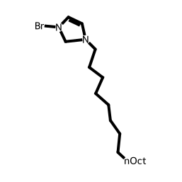 CCCCCCCCCCCCCCCCN1C=CN(Br)C1